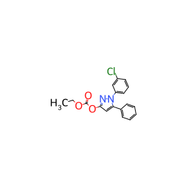 CCOC(=O)Oc1cc(-c2ccccc2)n(-c2cccc(Cl)c2)n1